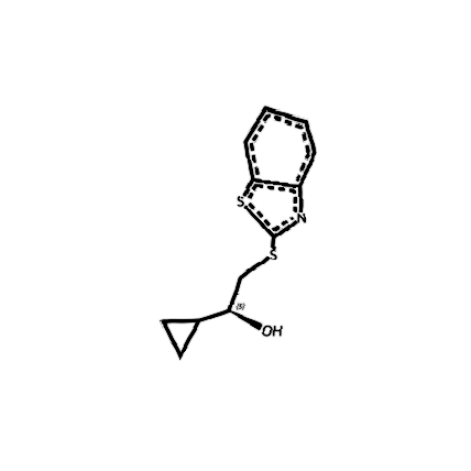 O[C@H](CSc1nc2ccccc2s1)C1CC1